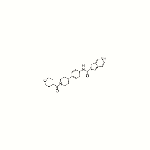 O=C(Nc1ccc(C2CCN(C(=O)C3CCOCC3)CC2)cc1)N1C=C2C=CNC=C2C1